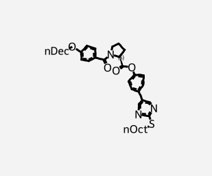 CCCCCCCCCCOc1ccc(C(=O)N2CCC[C@H]2C(=O)Oc2ccc(-c3cnc(SCCCCCCCC)nc3)cc2)cc1